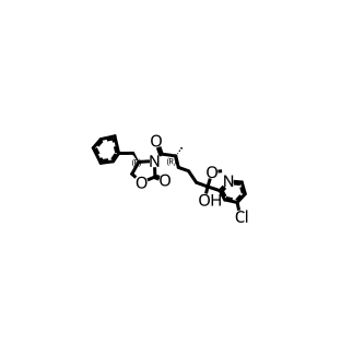 COC(O)(CCC[C@@H](C)C(=O)N1C(=O)OC[C@H]1Cc1ccccc1)c1cc(Cl)ccn1